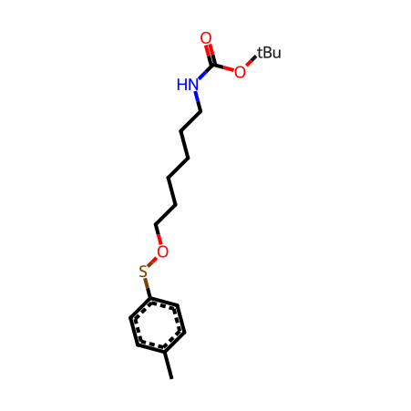 Cc1ccc(SOCCCCCCNC(=O)OC(C)(C)C)cc1